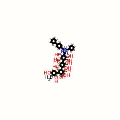 Bc1c(O)cc2sc3c(-c4c(O)c(O)c(-c5c(O)c(O)c(-c6nc(-c7ccccc7)nc(-c7ccc(-c8ccccc8)cc7)n6)c(O)c5O)c(O)c4O)c(O)c(O)c(O)c3c2c1O